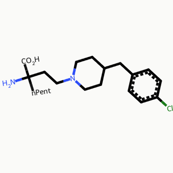 CCCCCC(N)(CCN1CCC(Cc2ccc(Cl)cc2)CC1)C(=O)O